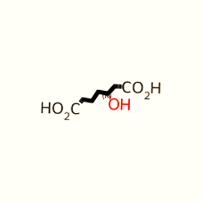 O=C(O)CCC[C@@H](O)CC(=O)O